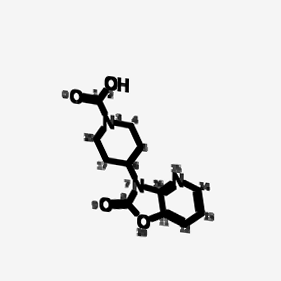 O=C(O)N1CCC(n2c(=O)oc3cccnc32)CC1